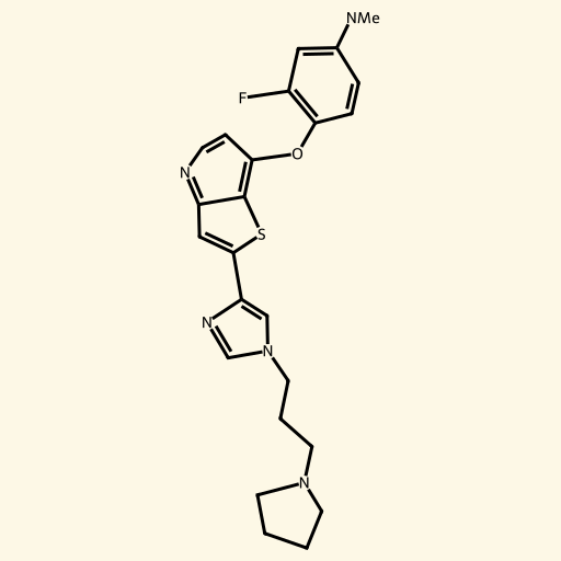 CNc1ccc(Oc2ccnc3cc(-c4cn(CCCN5CCCC5)cn4)sc23)c(F)c1